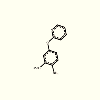 COc1cc(Oc2ccccn2)ccc1N